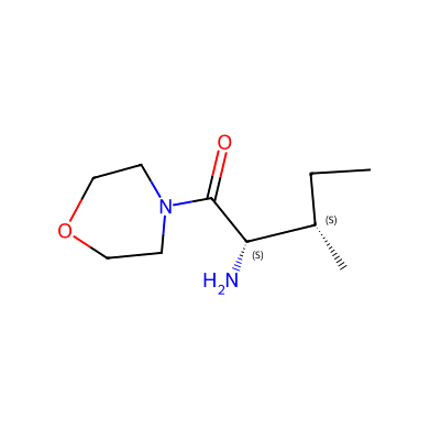 CC[C@H](C)[C@H](N)C(=O)N1CCOCC1